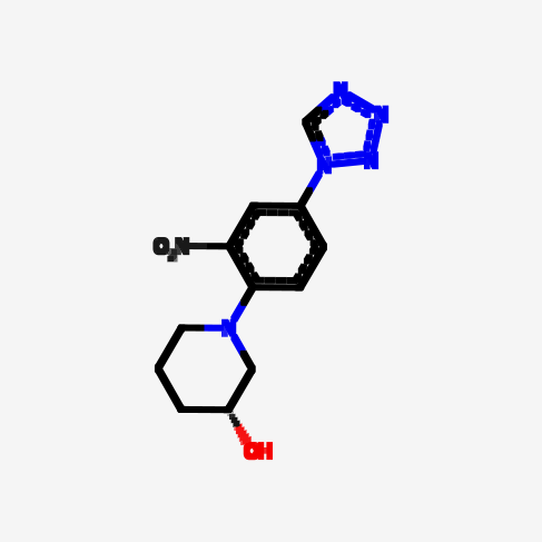 O=[N+]([O-])c1cc(-n2cnnn2)ccc1N1CCC[C@@H](O)C1